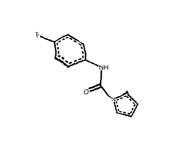 O=C(Nc1ccc(F)cc1)n1cccc1